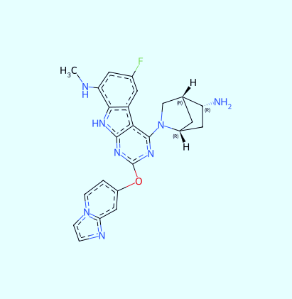 CNc1cc(F)cc2c1[nH]c1nc(Oc3ccn4ccnc4c3)nc(N3C[C@H]4C[C@@H]3C[C@H]4N)c12